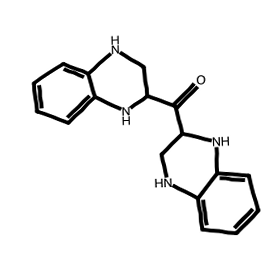 O=C(C1CNc2ccccc2N1)C1CNc2ccccc2N1